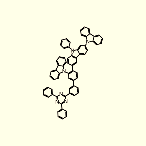 c1ccc(-c2nc(-c3ccccc3)nc(-c3cccc(-c4ccc(-c5ccc6c(c5)c5ccc(-n7c8ccccc8c8ccccc87)cc5n6-c5ccccc5)c(-n5c6ccccc6c6ccccc65)c4)c3)n2)cc1